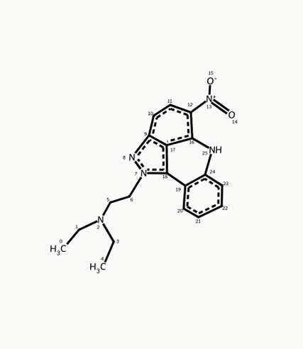 CCN(CC)CCn1nc2ccc([N+](=O)[O-])c3c2c1-c1ccccc1N3